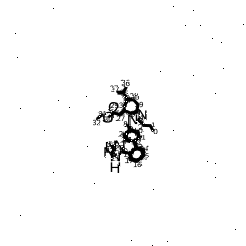 CCCc1nc2c(n1Cc1ccc(-c3ccccc3-c3nnn[nH]3)cc1)C(=CC(=O)OCC)CC(C(C)C)CC2